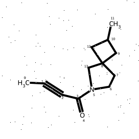 CC#CC(=O)N1CCC2(CC(C)C2)C1